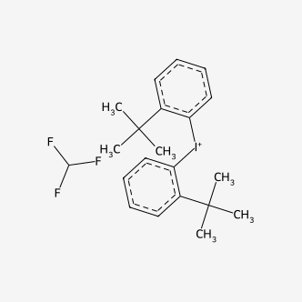 CC(C)(C)c1ccccc1[I+]c1ccccc1C(C)(C)C.FC(F)F